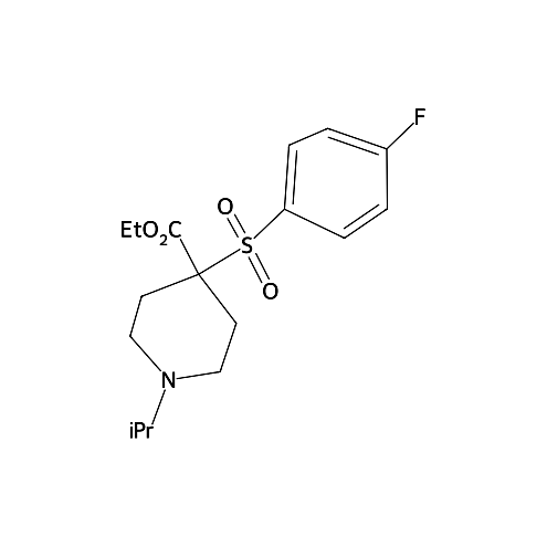 CCOC(=O)C1(S(=O)(=O)c2ccc(F)cc2)CCN(C(C)C)CC1